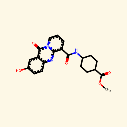 COC(=O)C1CCC(NC(=O)c2cccn3c(=O)c4cc(O)ccc4nc23)CC1